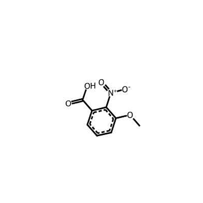 COc1cccc(C(=O)O)c1[N+](=O)[O-]